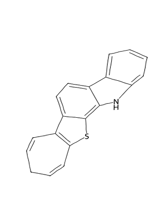 C1=Cc2sc3c(ccc4c5ccccc5[nH]c43)c2C=CC1